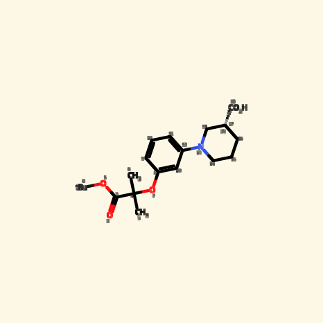 CC(C)(C)OC(=O)C(C)(C)Oc1cccc(N2CCC[C@@H](C(=O)O)C2)c1